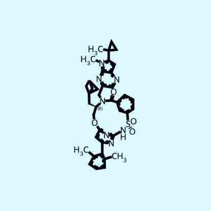 Cc1cccc(C)c1-c1cc2nc(n1)NS(=O)(=O)c1cccc(c1)C(=O)N(Cc1cnc3cc(C4(C)CC4)n(C)c3n1)[C@H](CC13CC(C1)C3)CO2